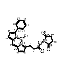 O=C(CCC1=[N+]2B(F)n3c(ccc3-c3ccccc3)C=C2C=C1)ON1C(=O)CCC1=O